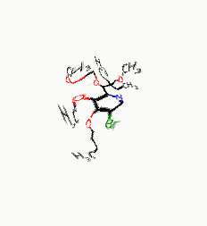 C=CC(C)(COC)C(OCOC)c1ncc(Br)c(OCCCC)c1OC